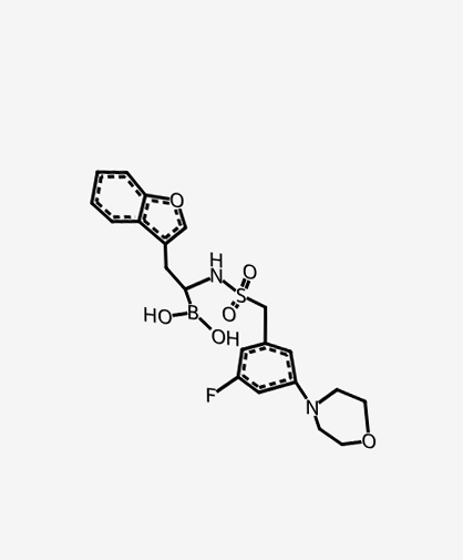 O=S(=O)(Cc1cc(F)cc(N2CCOCC2)c1)NC(Cc1coc2ccccc12)B(O)O